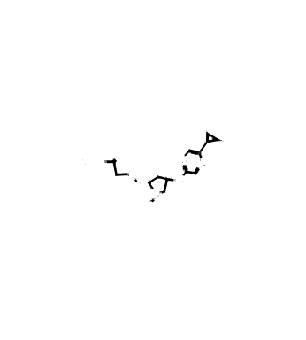 COC(=O)CNC[C@@H]1C[C@](Oc2cnc(C3CC3)cn2)(C(C)(C)C)CN1C(=O)O